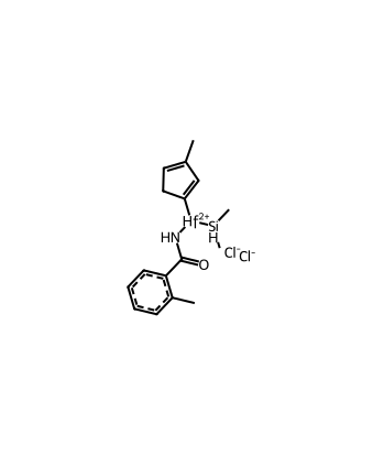 CC1=CC[C]([Hf+2]([NH]C(=O)c2ccccc2C)[SiH](C)C)=C1.[Cl-].[Cl-]